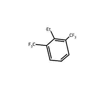 C[CH]c1c(C(F)(F)F)cccc1C(F)(F)F